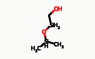 C[SiH](C)O[SiH2]CO